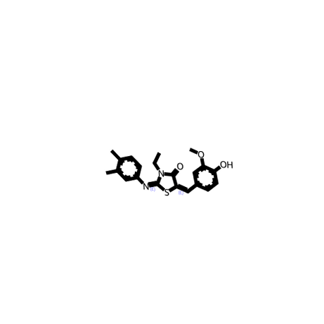 CCN1C(=O)/C(=C\c2ccc(O)c(OC)c2)S/C1=N/c1ccc(C)c(C)c1